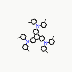 Cc1cccc(N(c2cccc(C)c2)c2ccc3c(c2)c2ccc(N(c4cccc(C)c4)c4cccc(C)c4)cc2c2ccc(N(c4cccc(C)c4)c4cccc(C)c4)cc32)c1